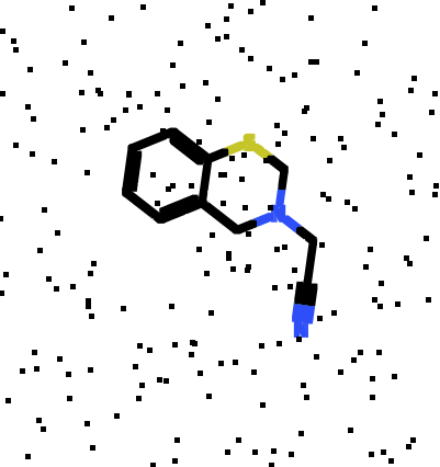 N#CCN1CSc2ccccc2C1